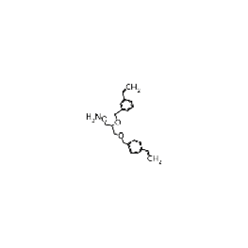 C=Cc1ccc(COCC(CON)OCc2cccc(C=C)c2)cc1